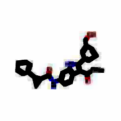 COC(=O)c1c(-c2cccc(CO)c2)[nH]c2cc(NC(=O)C3CC3c3ccccc3)ccc12